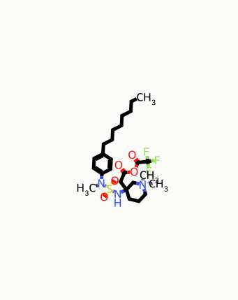 CCCCCCCCc1ccc(N(C)S(=O)(=O)NC2(CC(=O)OC(=O)C(F)(F)F)CCC[N+](C)(C)C2)cc1